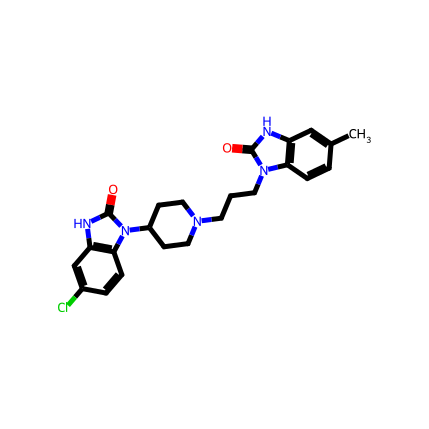 Cc1ccc2c(c1)[nH]c(=O)n2CCCN1CCC(n2c(=O)[nH]c3cc(Cl)ccc32)CC1